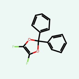 FC1=C(F)OC(c2ccccc2)(c2ccccc2)O1